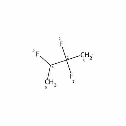 [CH2]C(F)(F)C(C)F